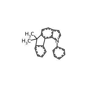 CC1(C)c2ccccc2-c2c1ccc1ccn(-c3ccccc3)c21